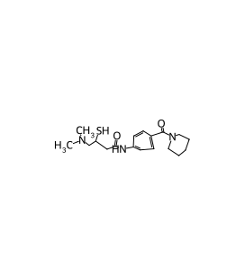 CN(C)CC(S)CC(=O)Nc1ccc(C(=O)N2CCCCC2)cc1